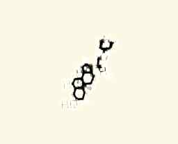 C[C@]12CC[C@H]3[C@@H](CCC4CC(O)CC[C@@]43C)[C@@H]1CC[C@@H]2C(=O)COc1ccncc1